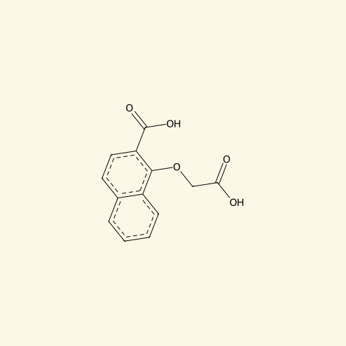 O=C(O)COc1c(C(=O)O)ccc2ccccc12